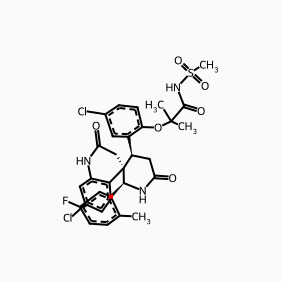 Cc1ccc(F)cc1[C@@H]1NC(=O)C[C@H](c2cc(Cl)ccc2OC(C)(C)C(=O)NS(C)(=O)=O)[C@@]12CC(=O)Nc1cc(Cl)ccc12